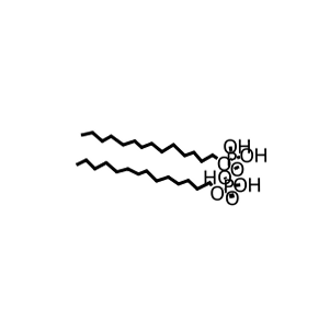 CCCCCCCCCCCCCCOP(=O)(O)O.CCCCCCCCCCCCCCOP(=O)(O)O